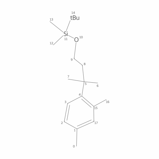 Cc1ccc(C(C)(C)CCO[Si](C)(C)C(C)(C)C)c(C)c1